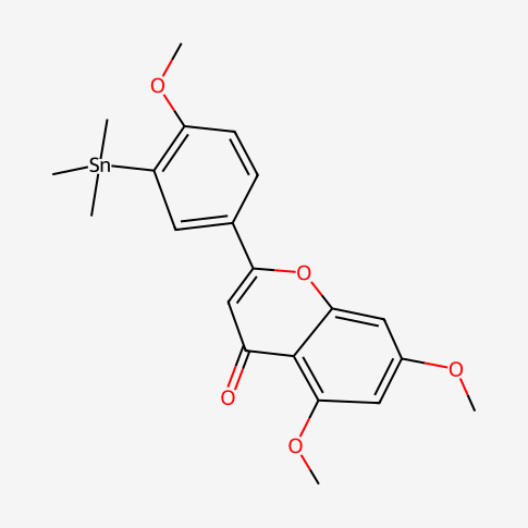 COc1cc(OC)c2c(=O)cc(-c3ccc(OC)[c]([Sn]([CH3])([CH3])[CH3])c3)oc2c1